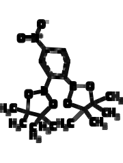 CC1(C)OB(c2ccc([N+](=O)[O-])cc2B2OC(C)(C)C(C)(C)O2)OC1(C)C